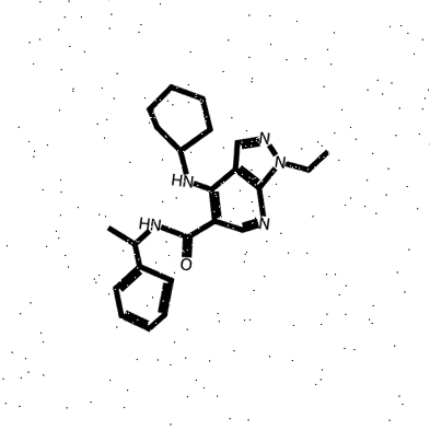 CCn1ncc2c(NC3CCCCC3)c(C(=O)NC(C)c3ccccc3)cnc21